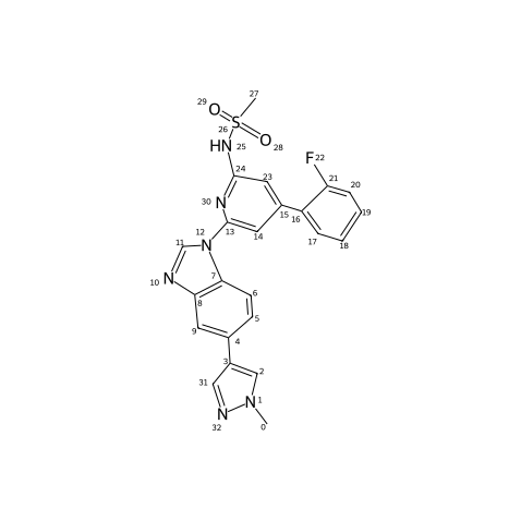 Cn1cc(-c2ccc3c(c2)ncn3-c2cc(-c3ccccc3F)cc(NS(C)(=O)=O)n2)cn1